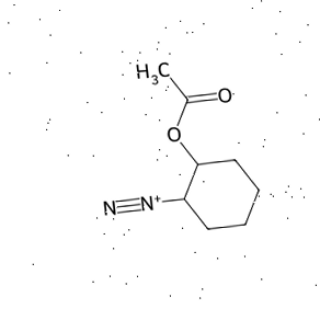 CC(=O)OC1CCCCC1[N+]#N